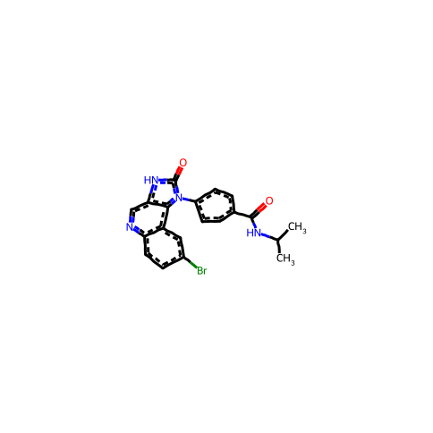 CC(C)NC(=O)c1ccc(-n2c(=O)[nH]c3cnc4ccc(Br)cc4c32)cc1